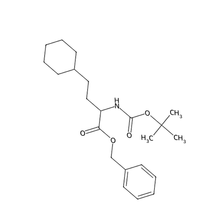 CC(C)(C)OC(=O)NC(CCC1CCCCC1)C(=O)OCc1ccccc1